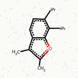 Cc1oc2c(C(C)C)c(C(C)C)ccc2c1C